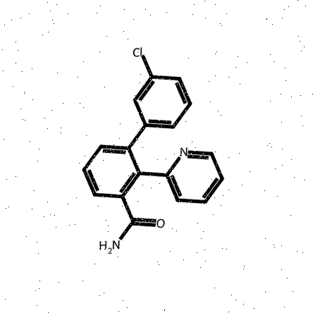 NC(=O)c1cccc(-c2cccc(Cl)c2)c1-c1ccccn1